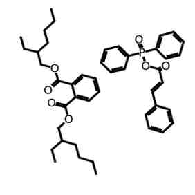 CCCCC(CC)COC(=O)c1ccccc1C(=O)OCC(CC)CCCC.O=C(C=Cc1ccccc1)OP(=O)(c1ccccc1)c1ccccc1